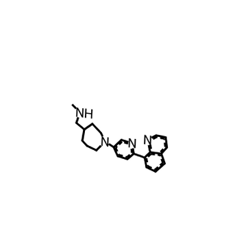 CNCC1CCCN(c2ccc(-c3cccc4cccnc34)nc2)CC1